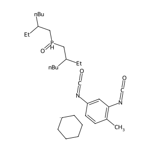 CCCCC(CC)C[PH](=O)CC(CC)CCCC.Cc1ccc(N=C=O)cc1N=C=O.[CH]1CCCCC1